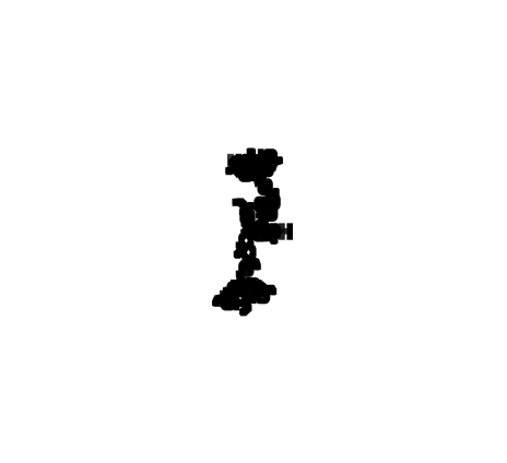 CCC(C)COCC(COCC(C)O)(COCC(C)OC(=O)OC(C)COCC(COCC(C)O)(COCC(C)O)COCC(C)O)COCC(C)OC(CC)COCC(COCC(O)CC)(COCC(O)CC)COCC(O)CC